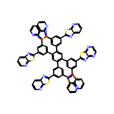 c1cnc2sc(-c3cc(-c4nc5cccnc5s4)cc(-c4cc(-c5cc(-c6nc7cccnc7s6)cc(-c6nc7cccnc7s6)c5)c(-c5cc(-c6nc7cccnc7s6)cc(-c6nc7nccnc7s6)c5)cc4-c4cc(-c5nc6cccnc6s5)cc(-c5nc6cccnc6s5)c4)c3)nc2c1